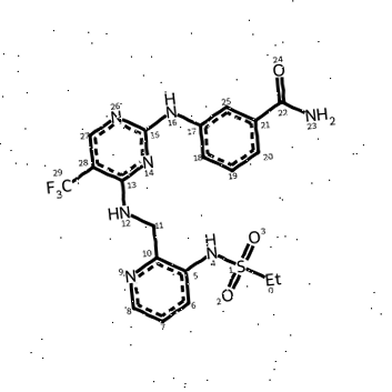 CCS(=O)(=O)Nc1cccnc1CNc1nc(Nc2cccc(C(N)=O)c2)ncc1C(F)(F)F